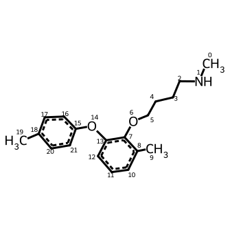 CNCCCCOc1c(C)cccc1Oc1ccc(C)cc1